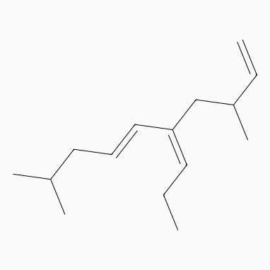 C=CC(C)CC(C=CCC(C)C)=CCC